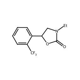 CCN1CC(c2ccccc2C(F)(F)F)OC1=O